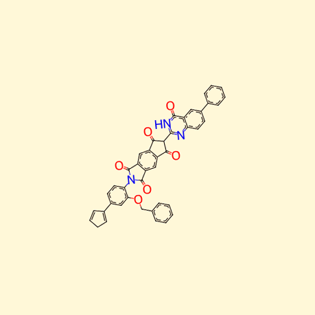 O=C1c2cc3c(cc2C(=O)C1c1nc2ccc(-c4ccccc4)cc2c(=O)[nH]1)C(=O)N(c1ccc(C2=CCC=C2)cc1OCc1ccccc1)C3=O